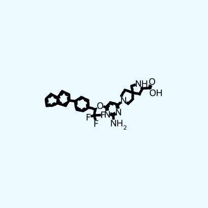 Nc1nc(O[C@H](c2ccc(-c3ccc4ccccc4c3)cc2)C(F)(F)F)cc(N2CCC3(CC2)CNC(C(=O)O)C3)n1